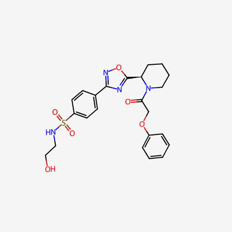 O=C(COc1ccccc1)N1CCCC[C@@H]1c1nc(-c2ccc(S(=O)(=O)NCCO)cc2)no1